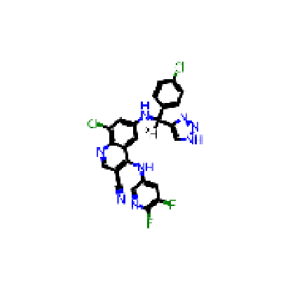 [2H]C(Nc1cc(Cl)c2ncc(C#N)c(Nc3cnc(F)c(F)c3)c2c1)(c1ccc(Cl)cc1)c1c[nH]nn1